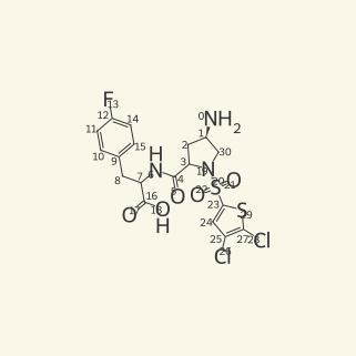 N[C@@H]1CC(C(=O)NC(Cc2ccc(F)cc2)C(=O)O)N(S(=O)(=O)c2cc(Cl)c(Cl)s2)C1